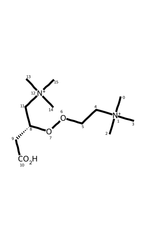 C[N+](C)(C)CCOO[C@H](CC(=O)O)C[N+](C)(C)C